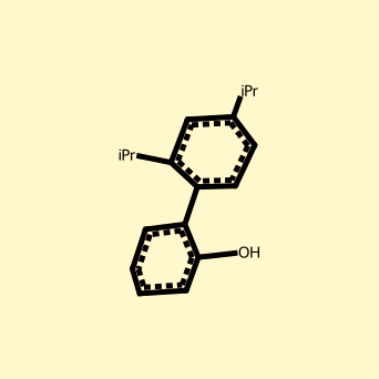 CC(C)c1ccc(-c2ccccc2O)c(C(C)C)c1